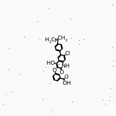 CN(C)c1ccc(-c2cc3c(O)c(Oc4cccc(C(=O)O)c4)c(=O)[nH]c3cc2Cl)cc1